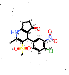 CC1=C(S(C)(=O)=O)C(c2ccc(Cl)c([N+](=O)[O-])c2)C2=C(CCC2=O)N1